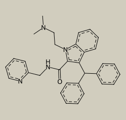 CN(C)CCn1c(C(=O)NCc2ccccn2)c(C(c2ccccc2)c2ccccc2)c2ccccc21